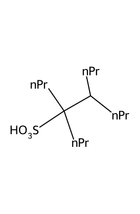 CCCC(CCC)C(CCC)(CCC)S(=O)(=O)O